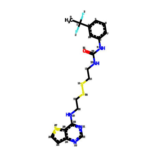 CC(F)(F)c1cccc(NC(=O)NCCSSCCNc2ncnc3ccsc23)c1